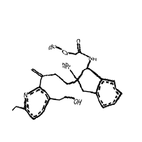 C=C(CCC1(CCC)Cc2ccccc2C1NC(=O)OC(C)(C)C)c1nc(C)ccc1CO